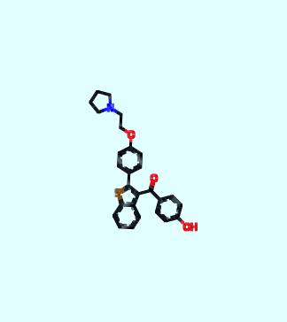 O=C(c1ccc(O)cc1)c1c(-c2ccc(OCCN3CCCC3)cc2)sc2ccccc12